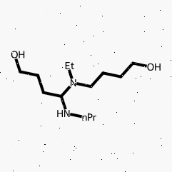 CCCNC(CCCO)N(CC)CCCCO